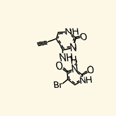 C#Cc1c[nH]c(=O)nc1N.O=c1[nH]cc(Br)c(=O)[nH]1